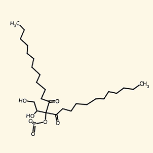 CCCCCCCCCCCC(=O)C(OP(=O)=O)(C(=O)CCCCCCCCCCC)C(O)CO